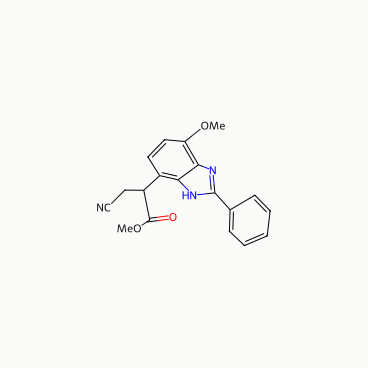 COC(=O)C(CC#N)c1ccc(OC)c2nc(-c3ccccc3)[nH]c12